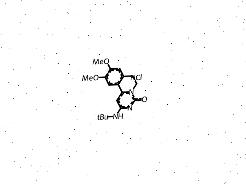 COc1cc2c(cc1OC)-c1cc(NC(C)(C)C)nc(=O)n1CC2.Cl